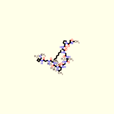 CCCCCCCC[C@H](NC(=O)C1CCCN1C(=O)c1coc(C)n1)C(=O)NCC(=O)NC(C)(C)C(=O)NCC(=O)NC(CC(C)C)C(=O)NC(C)(C)C(=O)NC(C)(C)C(=O)NCCC(=O)NC1(CN(C)C)CCC1